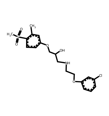 Cc1cc(OCC(O)CNCCOc2cccc(Cl)c2)ccc1S(C)(=O)=O